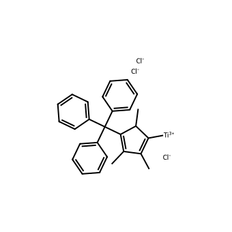 CC1=[C]([Ti+3])C(C)C(C(c2ccccc2)(c2ccccc2)c2ccccc2)=C1C.[Cl-].[Cl-].[Cl-]